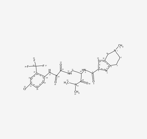 CN1CCc2nc(C(=O)NC(CNC(=O)C(=O)Nc3ccc(Cl)cc3C(F)(F)F)C(=O)N(C)C)sc2C1